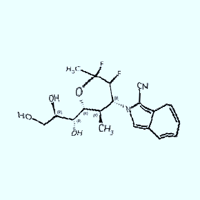 C[C@H]1[C@H]([C@H](O)[C@H](O)CO)OC(C)(F)C(F)[C@@H]1n1cc2ccccc2c1C#N